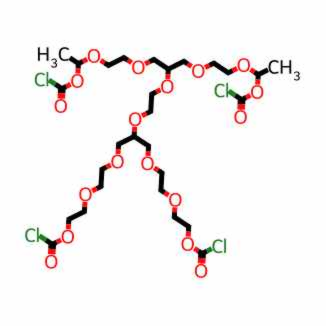 CC(OCCOCC(COCCOC(C)OC(=O)Cl)OCCOC(COCCOCCOC(=O)Cl)COCCOCCOC(=O)Cl)OC(=O)Cl